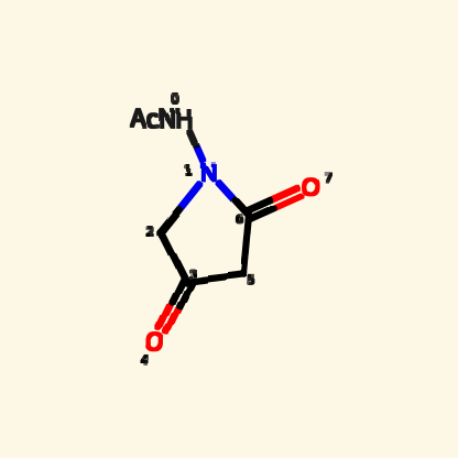 CC(=O)NN1CC(=O)CC1=O